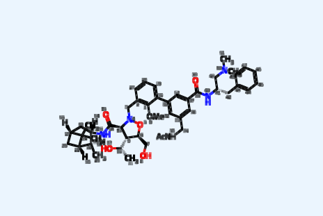 COc1c(CN2O[C@@H](CO)[C@H]([C@H](C)O)[C@H]2C(=O)N[C@H]2C[C@H]3C[C@@H]([C@@H]2C)C3(C)C)cccc1-c1cc(CNC(C)=O)cc(C(=O)N[C@@H](Cc2ccccc2)CN(C)C)c1